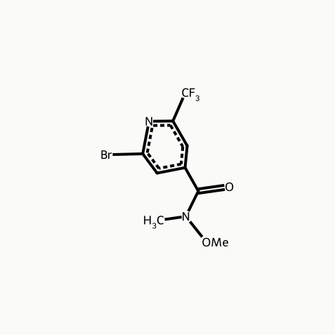 CON(C)C(=O)c1cc(Br)nc(C(F)(F)F)c1